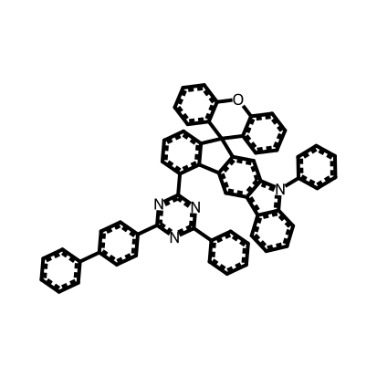 c1ccc(-c2ccc(-c3nc(-c4ccccc4)nc(-c4cccc5c4-c4cc6c7ccccc7n(-c7ccccc7)c6cc4C54c5ccccc5Oc5ccccc54)n3)cc2)cc1